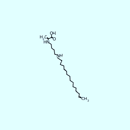 C=CCCCCCCCCCCCCCCNCCCCNC(=C)C(=O)O